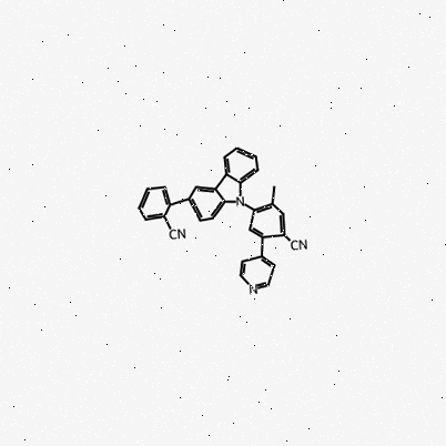 Cc1cc(C#N)c(-c2ccncc2)cc1-n1c2ccccc2c2cc(-c3ccccc3C#N)ccc21